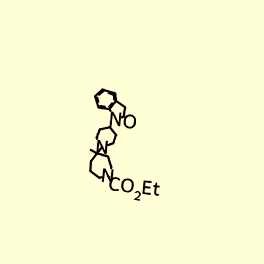 CCOC(=O)N1CCCC(C)(N2CCC(N3C(=O)Cc4ccccc43)CC2)CC1